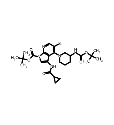 CC(C)(C)OC(=O)NC1CCCN(c2c(Br)cnc3c2c(NC(=O)C2CC2)cn3C(=O)OC(C)(C)C)C1